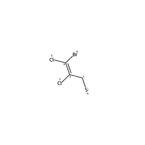 [S]CC(Cl)=C(Cl)Br